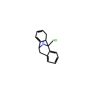 CC12NC(Cc3ccccc31)C1=CC=CCC12.Cl